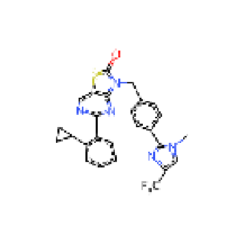 Cn1cc(C(F)(F)F)nc1-c1ccc(Cn2c(=O)sc3cnc(-c4ccccc4C4CC4)nc32)cc1